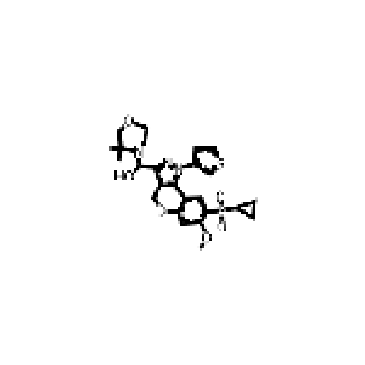 COc1cc2c(cc1S(=O)(=O)C1CC1)-c1c(c(C(O)N3CCOCC3(C)C)nn1-c1ccsc1)CO2